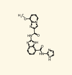 COc1cccn2cc(C(=O)Nc3nc4cccc(C(=O)Nc5ncc[nH]5)c4[nH]3)nc12